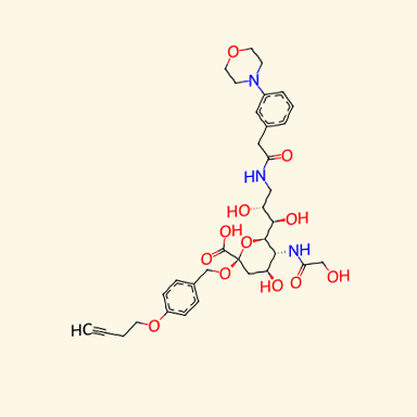 C#CCCOc1ccc(CO[C@]2(C(=O)O)C[C@H](O)[C@@H](NC(=O)CO)[C@H]([C@H](O)[C@H](O)CNC(=O)Cc3cccc(N4CCOCC4)c3)O2)cc1